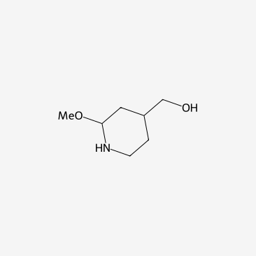 COC1CC(CO)CCN1